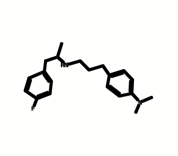 CC(Cc1ccc(F)cc1)NCCCc1ccc(N(C)C)cc1